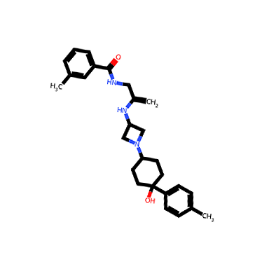 C=C(CNC(=O)c1cccc(C)c1)NC1CN(C2CCC(O)(c3ccc(C)cc3)CC2)C1